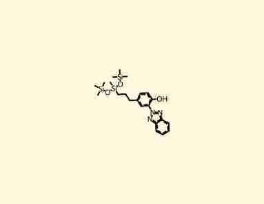 C[Si](C)(C)O[Si](C)(CCCc1ccc(O)c(-n2nc3ccccc3n2)c1)O[Si](C)(C)C